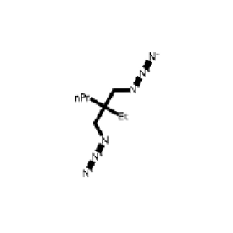 CCCC(CC)(CN=[N+]=[N-])CN=[N+]=[N-]